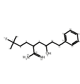 CC(C)(F)CCC(CC(O)[CH]Cc1ccccc1)C(=N)N